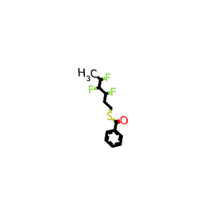 CC(F)C(F)C(F)CCSC(=O)c1ccccc1